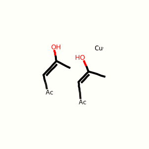 CC(=O)/C=C(\C)O.CC(=O)/C=C(\C)O.[Cu]